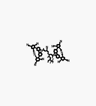 CC/C(=C\C(C)C(/C=C(\C)n1c2ccc(-c3c(C#N)cc(C#N)cc3C#N)cc2c2cc(-c3c(C#N)cc(C#N)cc3C#N)ccc21)C/C=C(C#N)\C=C(/C)n1c2ccc(-c3c(C#N)cc(C#N)cc3C#N)cc2c2cc(-c3c(C#N)cc(C#N)cc3C#N)ccc21)C(F)(F)F